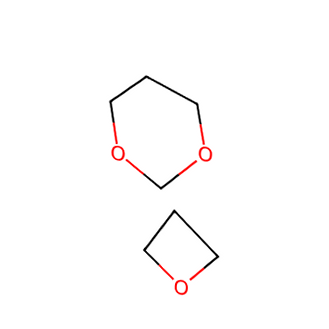 C1COC1.C1COCOC1